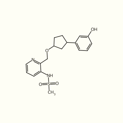 CS(=O)(=O)Nc1cccnc1COC1CCC(c2cccc(O)c2)C1